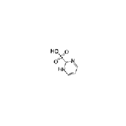 O=S(=O)(O)C1N=CC=CN1